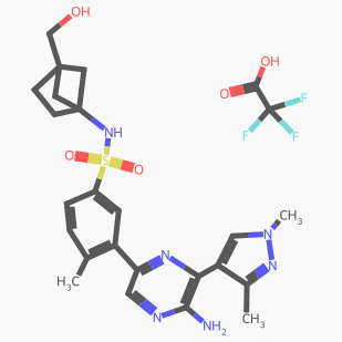 Cc1ccc(S(=O)(=O)NC23CCC(CO)(C2)C3)cc1-c1cnc(N)c(-c2cn(C)nc2C)n1.O=C(O)C(F)(F)F